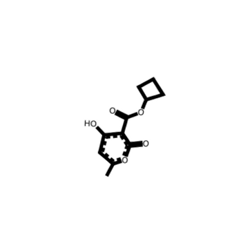 Cc1cc(O)c(C(=O)OC2CCC2)c(=O)o1